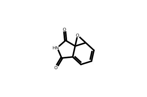 O=C1NC(=O)C23OC2C=CC=C13